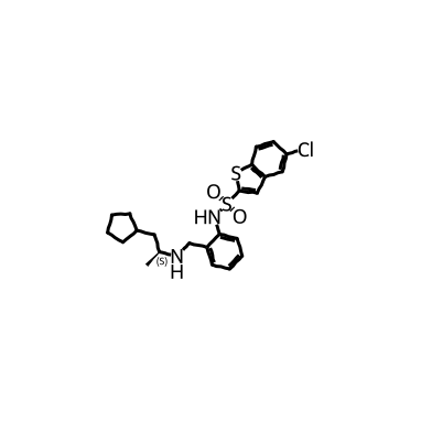 C[C@@H](CC1CCCC1)NCc1ccccc1NS(=O)(=O)c1cc2cc(Cl)ccc2s1